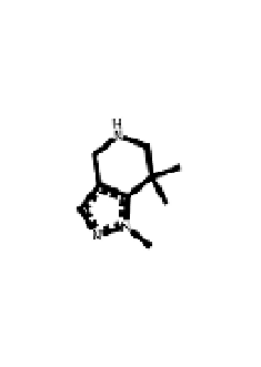 Cn1ncc2c1C(C)(C)CNC2